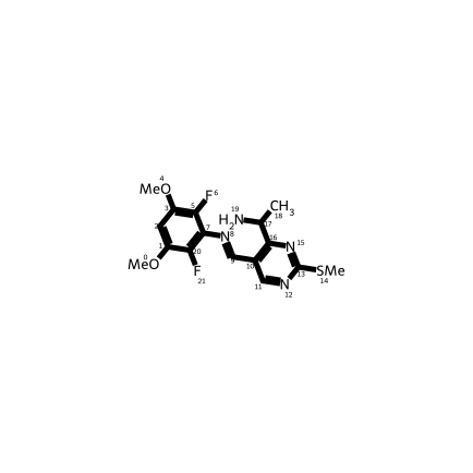 COc1cc(OC)c(F)c(N=Cc2cnc(SC)nc2C(C)N)c1F